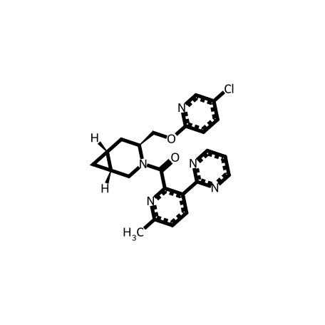 Cc1ccc(-c2ncccn2)c(C(=O)N2C[C@@H]3C[C@@H]3C[C@H]2COc2ccc(Cl)cn2)n1